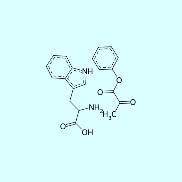 CC(=O)C(=O)Oc1ccccc1.NC(Cc1c[nH]c2ccccc12)C(=O)O